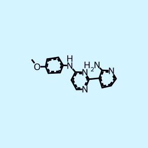 COc1ccc(Nc2ccnc(-c3cccnc3N)n2)cc1